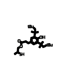 CC(S)COC(=O)CCc1cc(C(C)(C)CC(C)(C)C)c(O)c(C(C)(C)CC(C)(C)C)c1